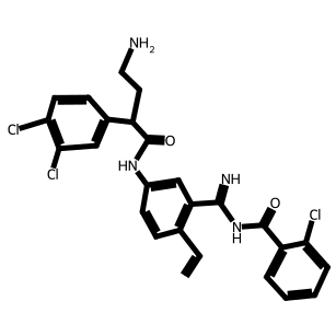 C=Cc1ccc(NC(=O)C(CCN)c2ccc(Cl)c(Cl)c2)cc1C(=N)NC(=O)c1ccccc1Cl